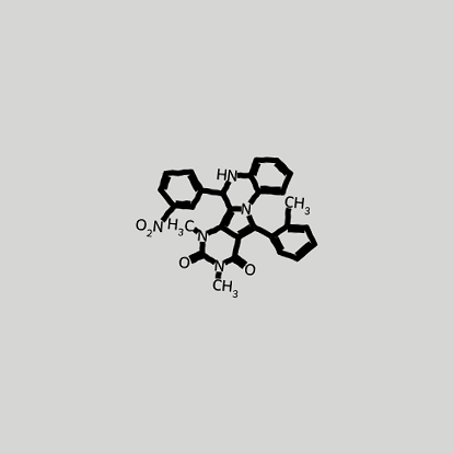 Cc1ccccc1-c1c2c(=O)n(C)c(=O)n(C)c2c2n1-c1ccccc1NC2c1cccc([N+](=O)[O-])c1